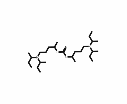 CCC(C)N(CCCC(C)OC(=O)OC(C)CCCN(C(C)CC)C(C)CC)C(C)CC